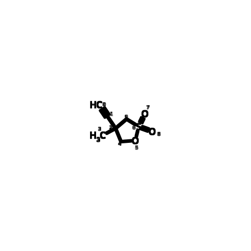 C#CC1(C)COS(=O)(=O)C1